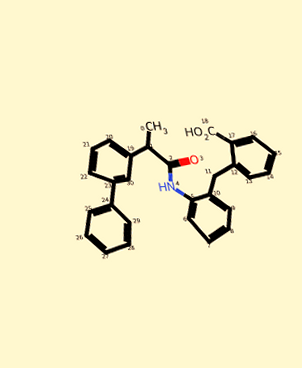 CC(C(=O)Nc1ccccc1Cc1ccccc1C(=O)O)c1cccc(-c2ccccc2)c1